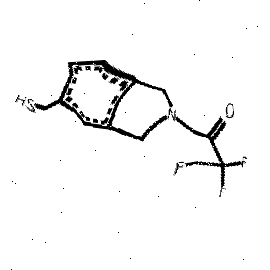 O=C(N1Cc2ccc(S)cc2C1)C(F)(F)F